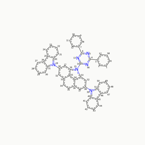 c1ccc(-c2nc(-c3ccccc3)nc(-n3c4cc(-n5c6ccccc6c6ccccc65)cc5ccc6cc(-n7c8ccccc8c8ccccc87)cc3c6c54)n2)cc1